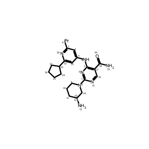 CC(C)c1cc(Nc2nc(N3CCC[C@H](N)C3)ncc2C(N)=O)cc(C2CCCC2)n1